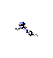 CC1CCN(CCNC(=O)c2cn(C)c(=O)c3[nH]ccc23)CC1